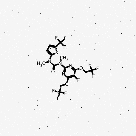 CN(C(=O)N(C)c1ccc(C(F)(F)F)s1)c1nc(OCC(F)(F)F)c(F)c(OCC(F)(F)F)n1